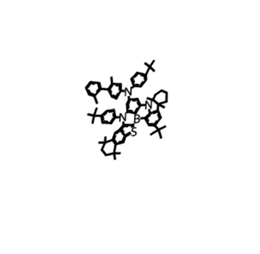 Cc1ccccc1-c1ccc(N(c2ccc(C(C)(C)C)cc2)c2cc3c4c(c2)N2c5c(cc(C(C)(C)C)cc5C5(C)CCCCC25C)B4c2sc4cc5c(cc4c2N3c2ccc(C(C)(C)C)cc2)C(C)(C)CCC5(C)C)cc1C